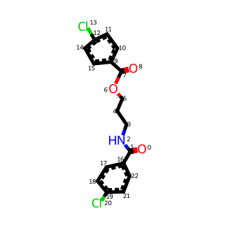 O=C(NCCCOC(=O)c1ccc(Cl)cc1)c1ccc(Cl)cc1